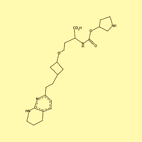 O=C(NC(CCOC1CC(CCc2ccc3c(n2)NCCC3)C1)C(=O)O)OC1CCNC1